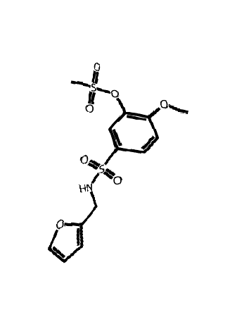 COc1ccc(S(=O)(=O)NCc2ccco2)cc1OS(C)(=O)=O